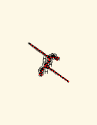 C#CC#CC#CC#CC#CC#CC#CC#CC#CONC(CCC(=O)OC(=O)c1ccccc1)C(=O)NCCNC(=O)C(CCC(=O)OC(=O)c1ccccc1)NC(=O)C#CC#CC#CC#CC#CC#CC#CC#CC